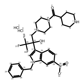 Cl.Cl.O=C(C1CCNCC1)N1CCN(CC(O)(c2cn(Cc3ccccc3)c3cc([N+](=O)[O-])ccc23)C(F)(F)F)CC1